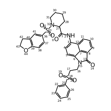 O=C(Nc1ccc2c3c(cccc13)C(=O)N2CCS(=O)(=O)c1ccccc1)C1CCCCN1S(=O)(=O)c1ccc2c(c1)CCO2